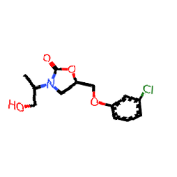 CC(CO)N1CC(COc2cccc(Cl)c2)OC1=O